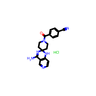 Cl.N#Cc1ccc(C(=O)N2CCC3(CC2)N=C(N)c2cnccc2N3)cc1